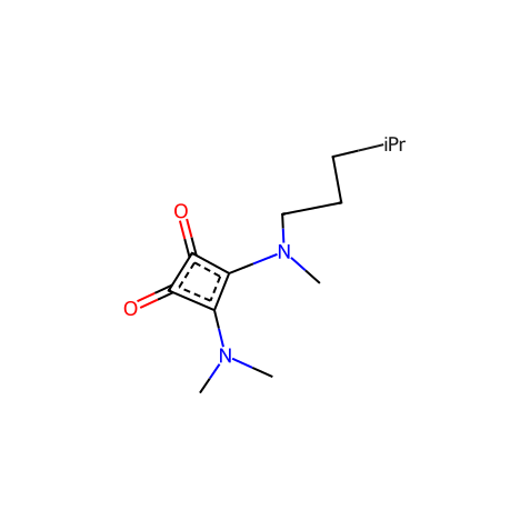 CC(C)CCCN(C)c1c(N(C)C)c(=O)c1=O